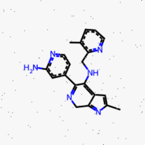 CC1=CC2=C(NCc3ncccc3C)C(c3ccnc(N)c3)=NCC2=N1